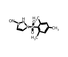 Cc1cc(C)c(S(=O)(=O)N2C=CN(N=O)N2)c(C)c1